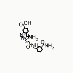 N/N=C(/SCC(=O)NCc1cccc(C(N)=O)c1)N(N)c1ccc(C(=O)O)cc1